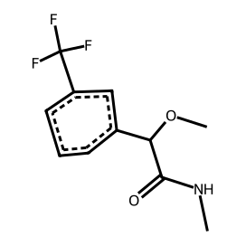 CNC(=O)C(OC)c1cccc(C(F)(F)F)c1